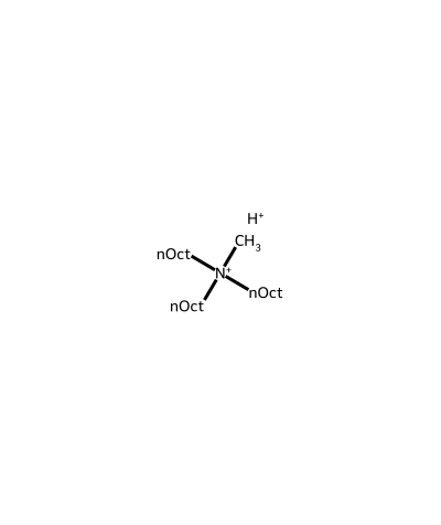 CCCCCCCC[N+](C)(CCCCCCCC)CCCCCCCC.[H+]